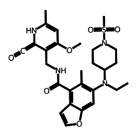 CCN(c1cc2occc2c(C(=O)NCC2=C(OC)C=C(C)NC2=C=O)c1C)C1CCN(S(C)(=O)=O)CC1